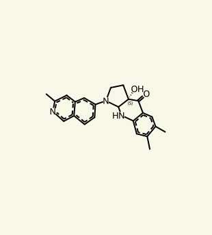 Cc1cc2cc(N3CC[C@@]4(O)C(=O)c5cc(C)c(C)cc5NC34)ccc2cn1